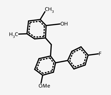 COc1ccc(Cc2cc(C)cc(C)c2O)c(-c2ccc(F)cc2)c1